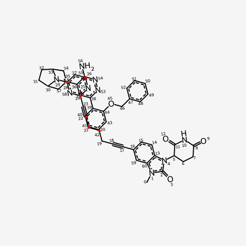 Cn1c(=O)n(C2CCC(=O)NC2=O)c2ccc(C#CCCCC#Cc3nccc(N4C5CCC4CN(c4cc(-c6ccccc6OCc6ccccc6)nnc4N)C5)n3)cc21